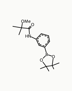 COC(C)(C)C(=O)Nc1cccc(B2OC(C)(C)C(C)(C)O2)c1